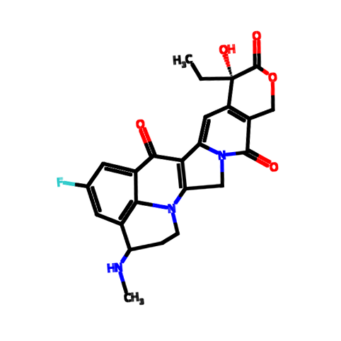 CC[C@@]1(O)C(=O)OCc2c1cc1n(c2=O)Cc2c-1c(=O)c1cc(F)cc3c1n2CCC3NC